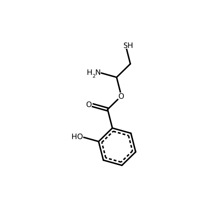 NC(CS)OC(=O)c1ccccc1O